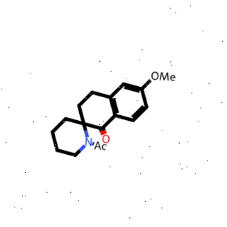 COc1ccc2c(c1)CCC1(CCCCN1C(C)=O)C2=O